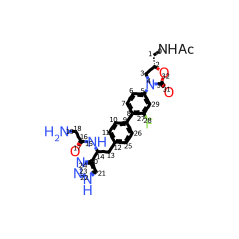 CC(=O)NC[C@H]1CN(c2ccc(-c3ccc(CC(NC(=O)CN)c4c[nH]nn4)cc3)c(F)c2)C(=O)O1